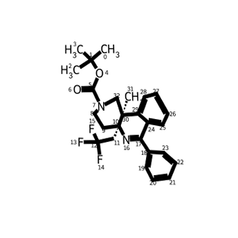 CC(C)(C)OC(=O)N1CC[C@]2(CC(F)(F)F)N=C(c3ccccc3)c3ccccc3[C@]2(C)C1